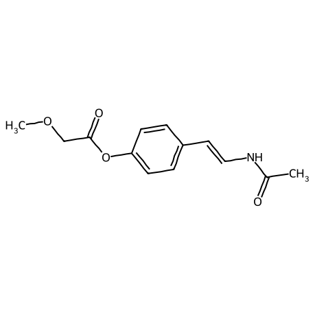 COCC(=O)Oc1ccc(C=CNC(C)=O)cc1